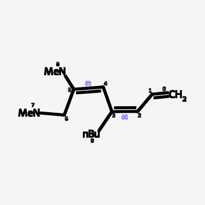 C=C/C=C(\C=C(/CNC)NC)CCCC